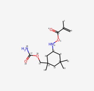 C=C(C)C(=O)ONC1CC(C)(C)CC(C)(COC(N)=O)C1